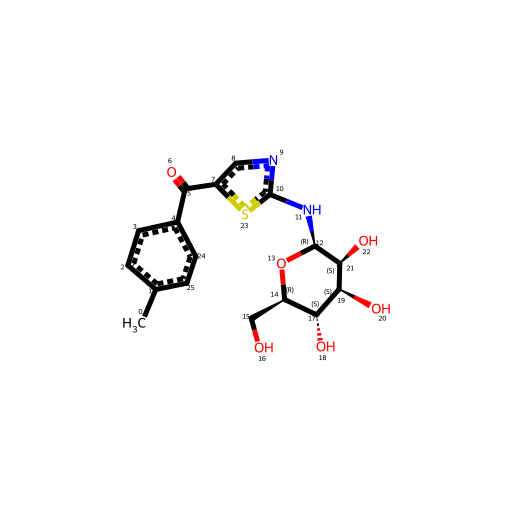 Cc1ccc(C(=O)c2cnc(N[C@@H]3O[C@H](CO)[C@@H](O)[C@H](O)[C@@H]3O)s2)cc1